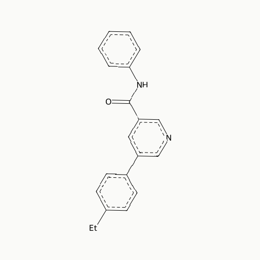 CCc1ccc(-c2cncc(C(=O)Nc3ccccc3)c2)cc1